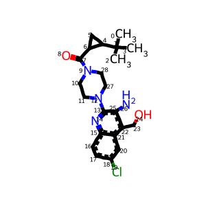 CC(C)(C)C1CC1C(=O)N1CCN(c2nc3ccc(Cl)cc3c(CO)c2N)CC1